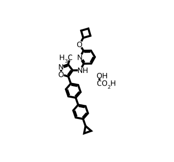 Cc1noc(-c2ccc(-c3ccc(C4CC4)cc3)cc2)c1Nc1cccc(OC2CCC2)n1.O=C(O)O